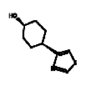 O[C@H]1CC[C@@H](c2cscn2)CC1